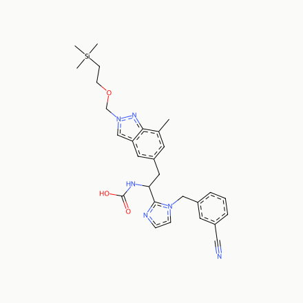 Cc1cc(CC(NC(=O)O)c2nccn2Cc2cccc(C#N)c2)cc2cn(COCC[Si](C)(C)C)nc12